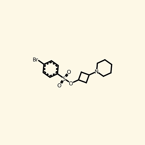 O=S(=O)(OC1CC(N2CCCCC2)C1)c1ccc(Br)cc1